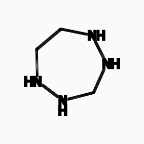 C1CNNCNN1